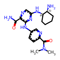 CN(C)C(=O)c1ccc(Nc2nc(N[C@@H]3CCCC[C@@H]3N)cnc2C(N)=O)cn1